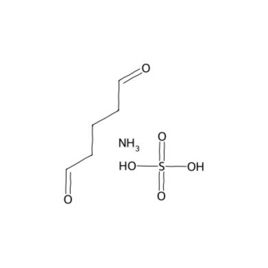 N.O=CCCCC=O.O=S(=O)(O)O